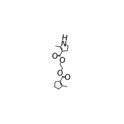 CC1=C(C(=O)OCCOC(=O)C2=C(C)NCC2)CCC1